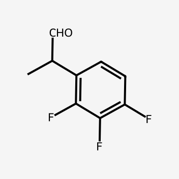 CC(C=O)c1ccc(F)c(F)c1F